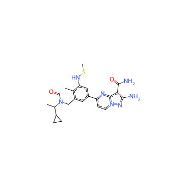 CSNc1cc(-c2ccn3nc(N)c(C(N)=O)c3n2)cc(CN(C=O)C(C)C2CC2)c1C